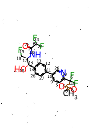 CS(=O)(=O)C(F)(F)c1ccc(-c2ccc([C@H](O)[C@@H](CF)NC(=O)C(F)F)cc2)cn1